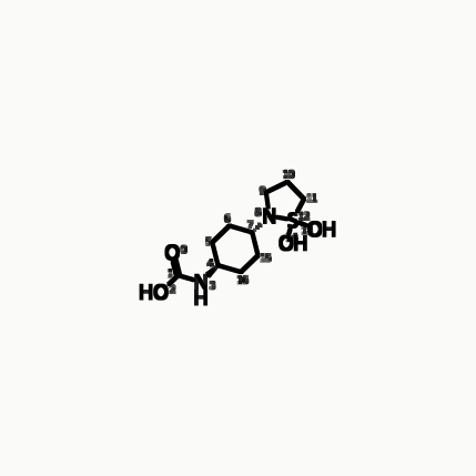 O=C(O)N[C@H]1CC[C@H](N2CCCS2(O)O)CC1